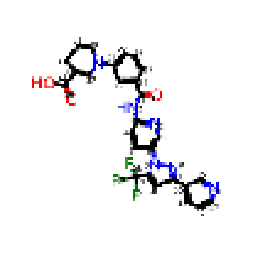 O=C(Nc1ccc(-n2nc(-c3cccnc3)cc2C(F)(F)F)cn1)c1cccc(N2CCCC(C(=O)O)C2)c1